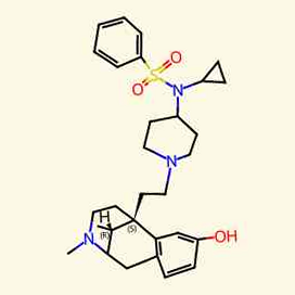 C[C@H]1C2Cc3ccc(O)cc3[C@@]1(CCN1CCC(N(C3CC3)S(=O)(=O)c3ccccc3)CC1)CCN2C